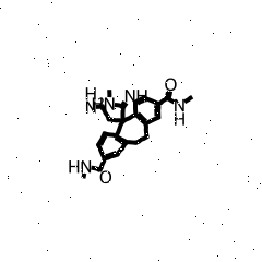 CNC(=N)C1(CCN)c2ccc(C(=O)NC)cc2CCc2cc(C(=O)NC)ccc21